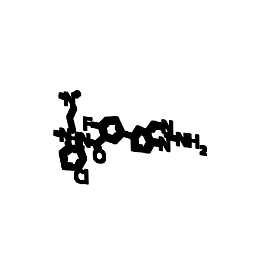 CN(C)CCCN(C)c1ccc(Cl)cc1NC(=O)c1cc(-c2ccc3nc(N)ncc3c2)ccc1F